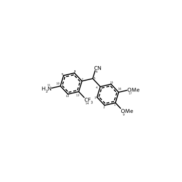 COc1ccc(C(C#N)c2ccc(N)cc2C(F)(F)F)cc1OC